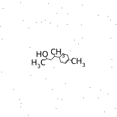 CC1=CCC(C(C)CC(C)O)CC1